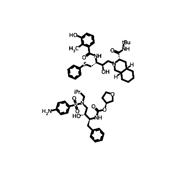 CC(C)CN(C[C@@H](O)[C@H](Cc1ccccc1)NC(=O)O[C@H]1CCOC1)S(=O)(=O)c1ccc(N)cc1.Cc1c(O)cccc1C(=O)N[C@@H](CSc1ccccc1)[C@H](O)CN1C[C@H]2CCCC[C@H]2C[C@H]1C(=O)NC(C)(C)C